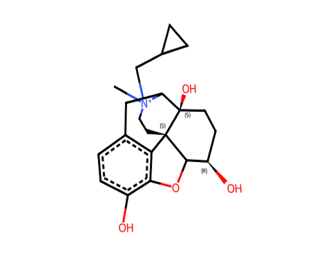 C[N+]1(CC2CC2)CC[C@]23c4c5ccc(O)c4OC2[C@H](O)CC[C@@]3(O)C1C5